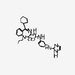 CCCN1C(=O)[C@H](NC(=O)Nc2cccc(CNc3ncc[nH]3)c2)N=C(C2CCCCC2)c2ccccc21